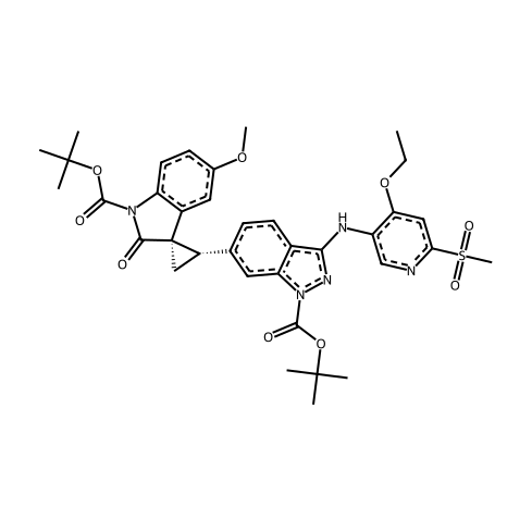 CCOc1cc(S(C)(=O)=O)ncc1Nc1nn(C(=O)OC(C)(C)C)c2cc([C@@H]3C[C@@]34C(=O)N(C(=O)OC(C)(C)C)c3ccc(OC)cc34)ccc12